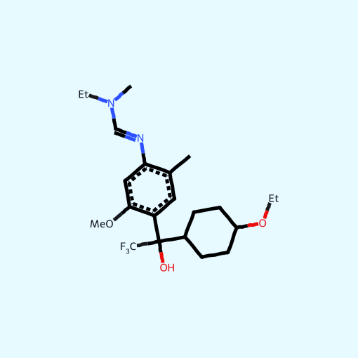 CCOC1CCC(C(O)(c2cc(C)c(N=CN(C)CC)cc2OC)C(F)(F)F)CC1